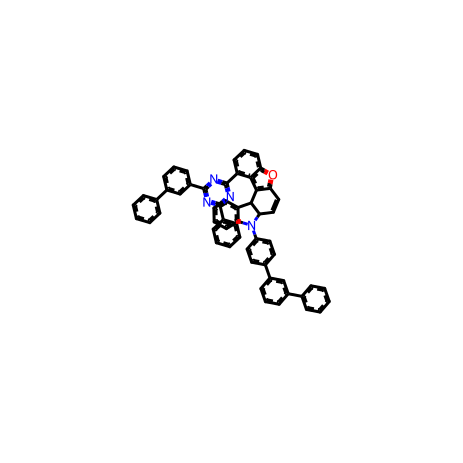 C1=CC2C(c3ccccc3N2c2ccc(-c3cccc(-c4ccccc4)c3)cc2)c2c1oc1cccc(-c3nc(-c4ccccc4)nc(-c4cccc(-c5ccccc5)c4)n3)c21